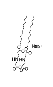 CCCCCCCCCCCCOC(=O)CCNCCC(=O)[O-].CCCCCCCCCCCCOC(=O)CCNCCC(=O)[O-].[Na+].[Na+]